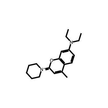 CCN(CC)c1ccc2c(C)cc(=[N+]3CCCCC3)oc2c1